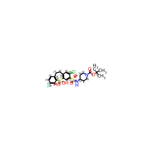 CC(C)(C)OC(=O)N1CCC(NS(=O)(=O)c2cc3c(cc2Cl)CCc2ccc(F)cc2S3(O)O)CC1